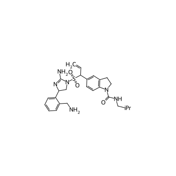 C=CC(c1ccc2c(c1)CCN2C(=O)NCC(C)C)S(=O)(=O)N1CC(c2ccccc2CN)N=C1N